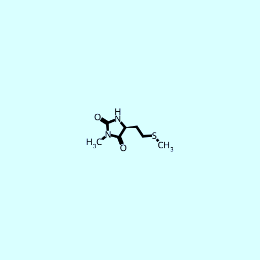 CSCC[C@@H]1NC(=O)N(C)C1=O